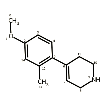 COc1ccc(C2=CCNCC2)c(C)c1